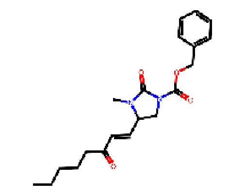 CCCCCC(=O)/C=C/C1CN(C(=O)OCc2ccccc2)C(=O)N1C